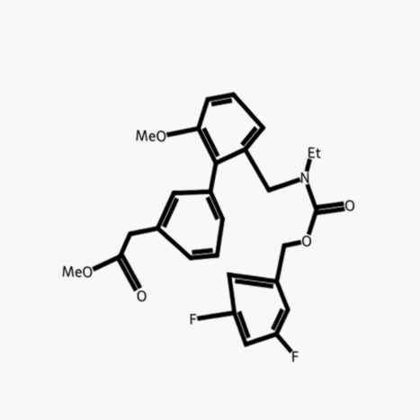 CCN(Cc1cccc(OC)c1-c1cccc(CC(=O)OC)c1)C(=O)OCc1cc(F)cc(F)c1